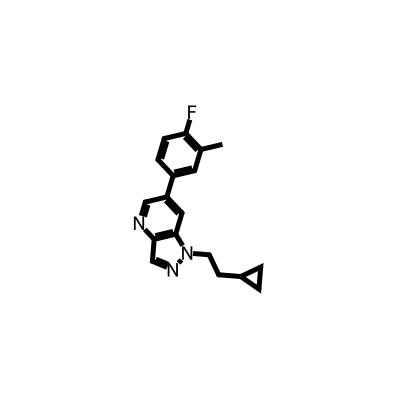 Cc1cc(-c2cnc3cnn(CCC4CC4)c3c2)ccc1F